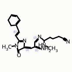 CNC(CCCC#N)\N=C/C(=C\N)/C=C1N=C(/C=C/C2=CC=CCC2)N(C)C\1=O